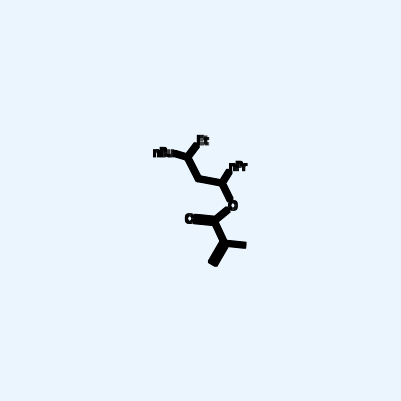 C=C(C)C(=O)OC(CCC)CC(CC)CCCC